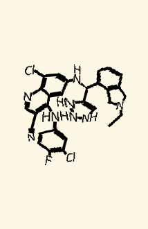 CCN1Cc2cccc([C@H](Nc3cc(Cl)c4ncc(C#N)c(Nc5ccc(F)c(Cl)c5)c4c3)C3=CNNN3)c2C1